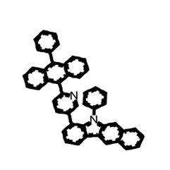 c1ccc(-c2c3ccccc3c(-c3ccc(-c4cccc5c6cc7ccccc7cc6n(-c6ccccc6)c45)cn3)c3ccccc23)cc1